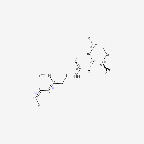 C=N/C(=C\C=C/C)CCNC(=O)O[C@@H]1C[C@H](C)CC[C@H]1C(C)C